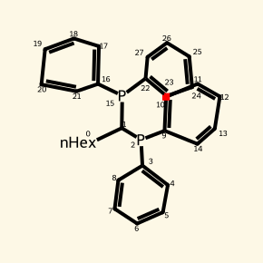 CCCCCCC(P(c1ccccc1)c1ccccc1)P(c1ccccc1)c1ccccc1